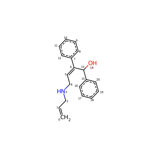 C=CCNCC=C(c1ccccc1)C(O)c1ccccc1